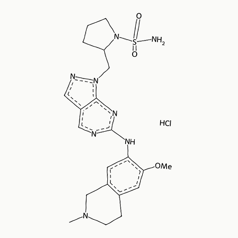 COc1cc2c(cc1Nc1ncc3cnn(CC4CCCN4S(N)(=O)=O)c3n1)CN(C)CC2.Cl